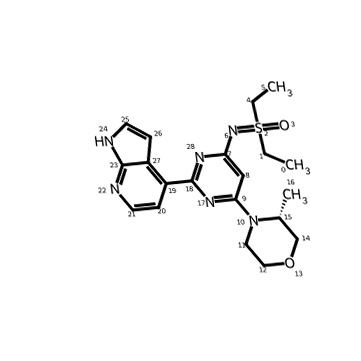 CCS(=O)(CC)=Nc1cc(N2CCOC[C@H]2C)nc(-c2ccnc3[nH]ccc23)n1